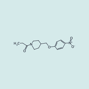 CCC(=O)N1CCC(COc2ccc([N+](=O)[O-])cc2)CC1